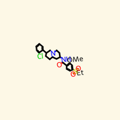 CCS(=O)(=O)c1ccc(C(=O)NC2CCN3CC(c4ccccc4Cl)CCC3C2)c(OC)c1